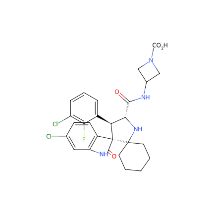 O=C(NC1CN(C(=O)O)C1)[C@@H]1NC2(CCCCC2)[C@@]2(C(=O)Nc3cc(Cl)ccc32)[C@H]1c1cccc(Cl)c1F